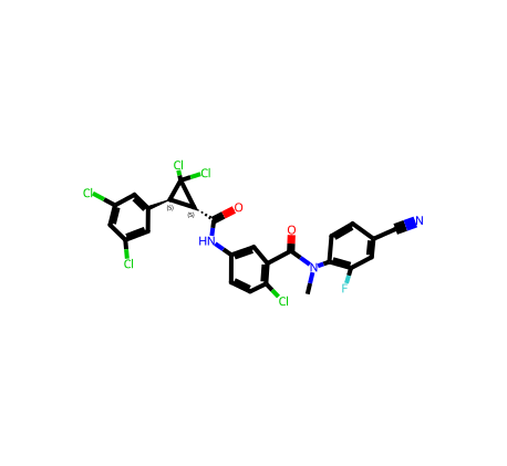 CN(C(=O)c1cc(NC(=O)[C@@H]2[C@@H](c3cc(Cl)cc(Cl)c3)C2(Cl)Cl)ccc1Cl)c1ccc(C#N)cc1F